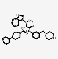 C[C@H](c1c[nH]c2ccccc12)[C@@H](NC(=O)N1CCC(c2ccccc2)CC1)C(=O)Nc1cccc(CN2CCNCC2)c1